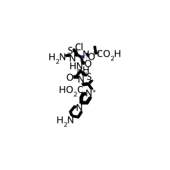 C[C@H](O/N=C(\C(=O)N[C@@H]1C(=O)N2C(C(=O)O)=C(C[n+]3ccc(N4CCC(N)CC4)cc3)CS[C@H]12)c1nc(N)sc1Cl)C(=O)O